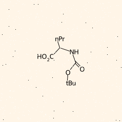 [CH2]CCC(NC(=O)OC(C)(C)C)C(=O)O